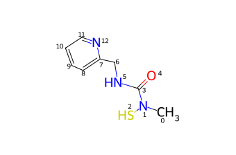 CN(S)C(=O)NCc1ccccn1